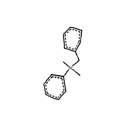 C[N+](C)(Cc1ccccc1)c1ccccc1